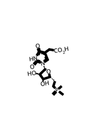 C=P(C)(C)CC[C@H]1O[C@@H](n2cc(CC(=O)O)c(=O)[nH]c2=O)[C@H](O)[C@@H]1O